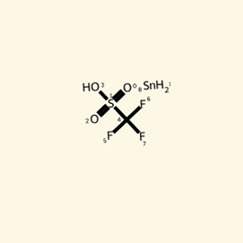 O=S(=O)(O)C(F)(F)F.[SnH2]